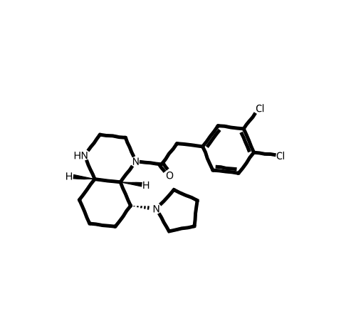 O=C(Cc1ccc(Cl)c(Cl)c1)N1CCN[C@H]2CCC[C@@H](N3CCCC3)[C@H]21